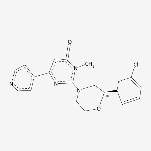 Cn1c(N2CCO[C@H](C3C=CC=C(Cl)C3)C2)nc(-c2ccncc2)cc1=O